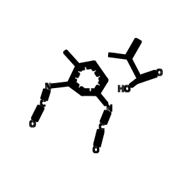 C=C(C)C(=O)O.Cc1ccc(N=C=O)cc1N=C=O